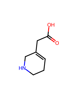 O=C(O)CC1=CCCNC1